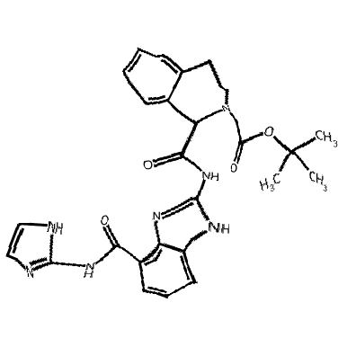 CC(C)(C)OC(=O)N1CCc2ccccc2C1C(=O)Nc1nc2c(C(=O)Nc3ncc[nH]3)cccc2[nH]1